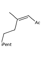 CCCCCCC/C(C)=C\C(C)=O